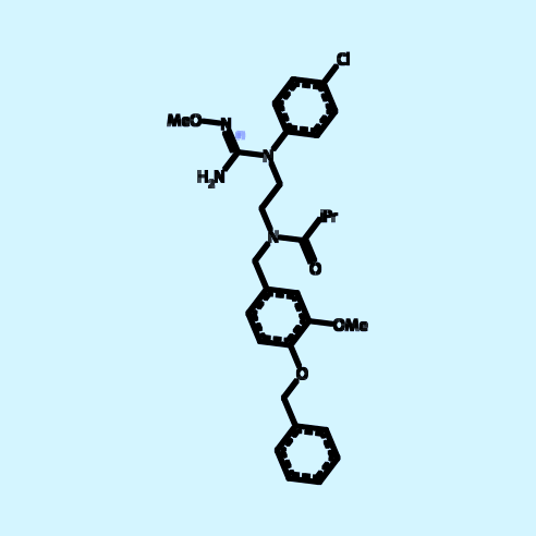 CO/N=C(\N)N(CCN(Cc1ccc(OCc2ccccc2)c(OC)c1)C(=O)C(C)C)c1ccc(Cl)cc1